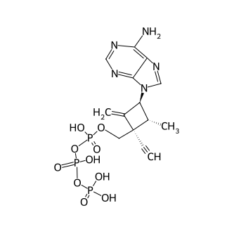 C#C[C@]1(COP(=O)(O)OP(=O)(O)OP(=O)(O)O)C(=C)[C@@H](n2cnc3c(N)ncnc32)[C@@H]1C